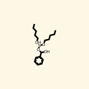 CCCCCO[SiH](OCCCCC)OC(O)c1ccccc1